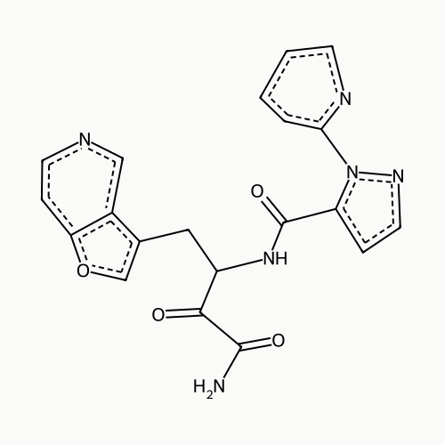 NC(=O)C(=O)C(Cc1coc2ccncc12)NC(=O)c1ccnn1-c1ccccn1